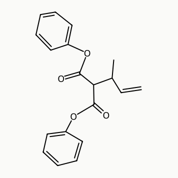 C=CC(C)C(C(=O)Oc1ccccc1)C(=O)Oc1ccccc1